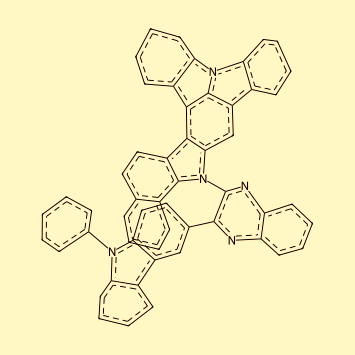 c1ccc(-n2c3ccccc3c3cc(-c4nc5ccccc5nc4-n4c5cc6c7ccccc7n7c8ccccc8c(c5c5ccc8ccccc8c54)c67)ccc32)cc1